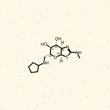 CNC1=N[C@@H]2[C@@H](O)[C@H](O)[C@@H](CNC3CCCC3)O[C@@H]2S1